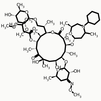 CO/N=C1\C[C@@H](C)O[C@@H](O[C@@H]2[C@@H](C)[C@H](O[C@H]3CC(C)N(C4CCCCC4)C[C@H](C)O3)[C@@H](C)C(=O)O[C@H]([C@@H](C)CO[C@@H]3O[C@H](C)[C@@H](O)[C@@H](OC)[C@H]3OC)[C@H](C)[C@@H](OC(=O)CC(C)C)[C@@H](C)C(=O)[C@@](C)(O)C[C@@H]2C)[C@@H]1O